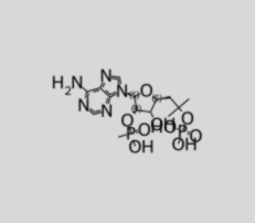 CC(C)(C[C@@H]1O[C@H](n2cnc3c(N)ncnc32)[C@H](OP(C)(=O)O)C1O)OP(=O)(O)O